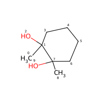 CC1(O)CCCCC1(C)O